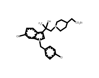 [C-]#[N+]c1ccc2c(C(O)(CN3CCC(CC(=O)OCC)CC3)C(F)(F)F)cn(Cc3ccc(Cl)cc3)c2c1